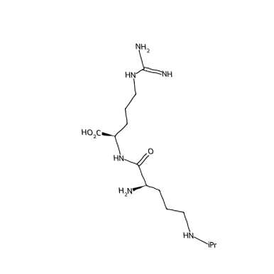 CC(C)NCCC[C@@H](N)C(=O)N[C@H](CCCNC(=N)N)C(=O)O